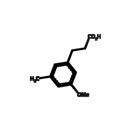 COc1cc(C)cc(CCC(=O)O)c1